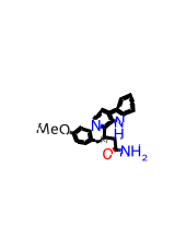 COc1ccc(C[C@H](CC(N)=O)c2nccc3c2[nH]c2ccccc23)cc1